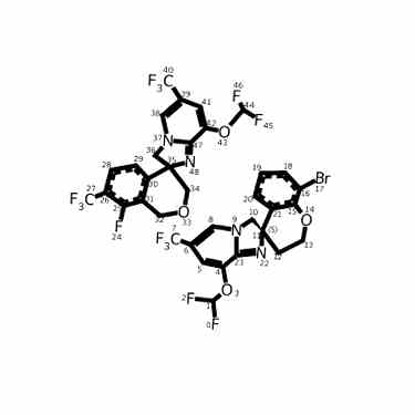 FC(F)OC1=CC(C(F)(F)F)=CN2C[C@@]3(CCOc4c(Br)cccc43)N=C12.Fc1c(C(F)(F)F)ccc2c1COCC21CN2C=C(C(F)(F)F)C=C(OC(F)F)C2=N1